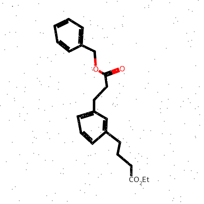 CCOC(=O)CCCc1cccc(CCC(=O)OCc2ccccc2)c1